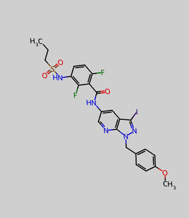 CCCS(=O)(=O)Nc1ccc(F)c(C(=O)Nc2cnc3c(c2)c(I)nn3Cc2ccc(OC)cc2)c1F